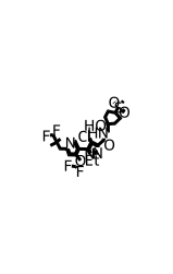 CCn1nc(C(=O)NCC2(O)CCC(S(C)(=O)=O)CC2)c(Cl)c1-c1cnc(CC(C)(C)C(F)F)cc1OC(F)F